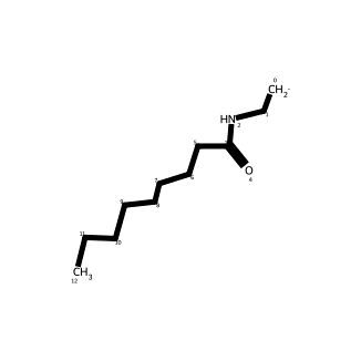 [CH2]CNC(=O)CCCCCCCC